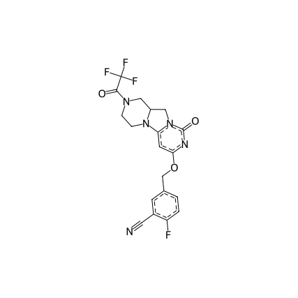 N#Cc1cc(COc2cc3n(c(=O)n2)CC2CN(C(=O)C(F)(F)F)CCN32)ccc1F